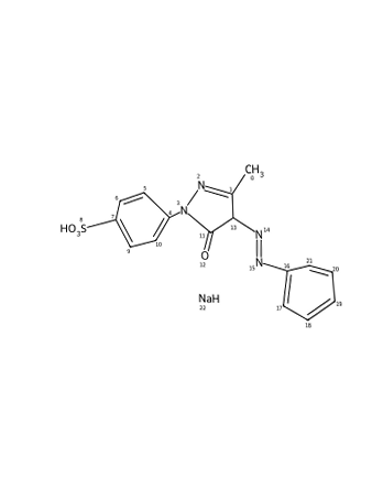 CC1=NN(c2ccc(S(=O)(=O)O)cc2)C(=O)C1N=Nc1ccccc1.[NaH]